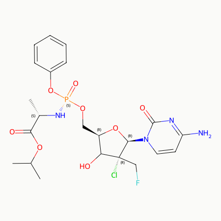 CC(C)OC(=O)[C@H](C)N[P@](=O)(OC[C@H]1O[C@@H](n2ccc(N)nc2=O)[C@@](Cl)(CF)C1O)Oc1ccccc1